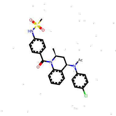 CC(=O)N(c1ccc(Cl)cc1)[C@@H]1C[C@H](C)N(C(=O)c2ccc(NS(C)(=O)=O)cc2)c2ccccc21